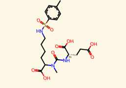 Cc1ccc(S(=O)(=O)NCCCCC(C(=O)O)N(C)C(=O)N[C@@H](CCC(=O)O)C(=O)O)cc1